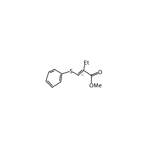 CC/C(=C\Sc1ccccc1)C(=O)OC